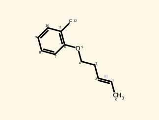 C/C=C/CCOc1ccc[c]c1F